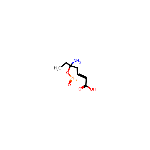 CCC(N)(CC=CC(=O)O)O[PH2]=O